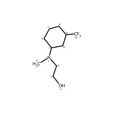 CN(CCO)C1CCCC(C(F)(F)F)C1